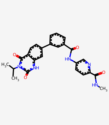 CNC(=O)c1ccc(NC(=O)c2cccc(-c3ccc4c(=O)n(C(C)C)c(=O)[nH]c4c3)c2)cn1